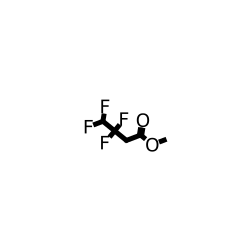 COC(=O)CC(F)(F)C(F)F